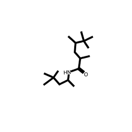 CC(CC(C)(C)C)NC(=O)C(C)CC(C)C(C)(C)C